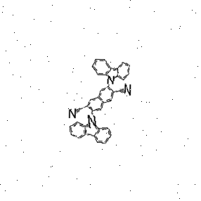 N#Cc1cc2cc(-n3c4ccccc4c4ccccc43)c(C#N)cc2cc1-n1c2ccccc2c2ccccc21